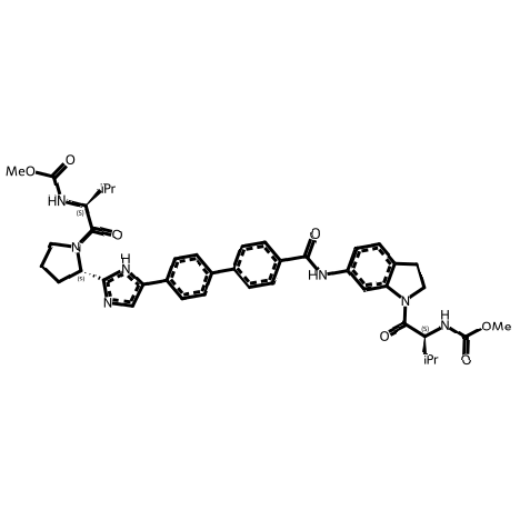 COC(=O)N[C@H](C(=O)N1CCc2ccc(NC(=O)c3ccc(-c4ccc(-c5cnc([C@@H]6CCCN6C(=O)[C@@H](NC(=O)OC)C(C)C)[nH]5)cc4)cc3)cc21)C(C)C